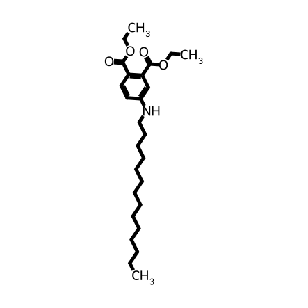 CCCCCCCCCCCCCCNc1ccc(C(=O)OCC)c(C(=O)OCC)c1